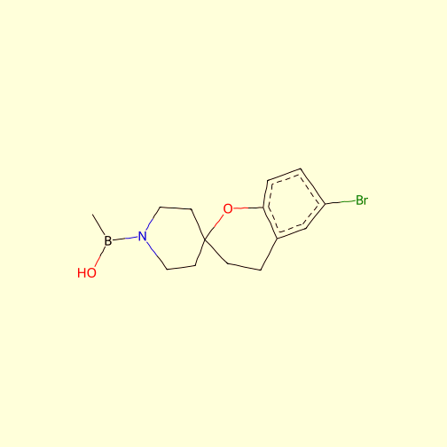 CB(O)N1CCC2(CCc3cc(Br)ccc3O2)CC1